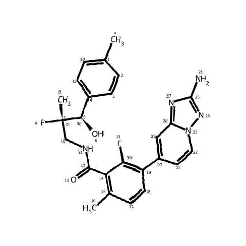 Cc1ccc([C@@H](O)[C@@](C)(F)CNC(=O)c2c(C)ccc(-c3ccn4nc(N)nc4c3)c2F)cc1